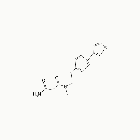 CC(CN(C)C(=O)CC(N)=O)c1ccc(-c2ccsc2)cc1